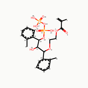 C=C(C)C(=O)OCCOC(c1ccccc1C)C(O)C(OP(=O)(O)OP(=O)(O)O)c1ccccc1C